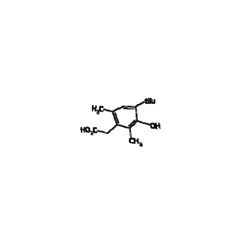 Cc1cc(C(C)(C)C)c(O)c(C)c1CC(=O)O